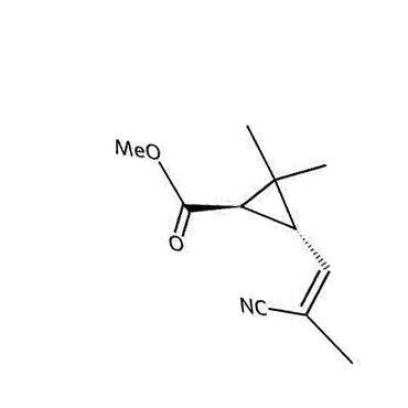 COC(=O)[C@@H]1[C@@H](/C=C(/C)C#N)C1(C)C